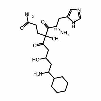 CC(CCC(N)=O)(C(=O)CC(O)CC(N)C1CCCCC1)C(=O)[C@@H](N)Cc1cnc[nH]1